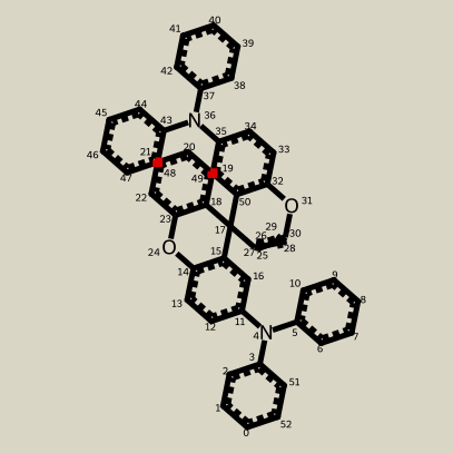 c1ccc(N(c2ccccc2)c2ccc3c(c2)C2(c4ccccc4O3)c3ccccc3Oc3ccc(N(c4ccccc4)c4ccccc4)cc32)cc1